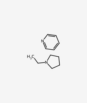 CCN1CCCC1.c1ccncc1